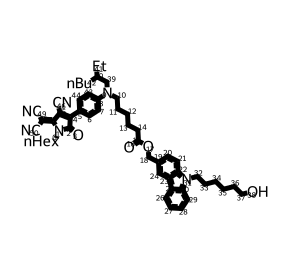 CCCCCCN1C(=O)C(c2ccc(N(CCCCCC(=O)OCc3ccc4c(c3)c3ccccc3n4CCCCCCO)CC(CC)CCCC)cc2)=C(C#N)C1=C(C#N)C#N